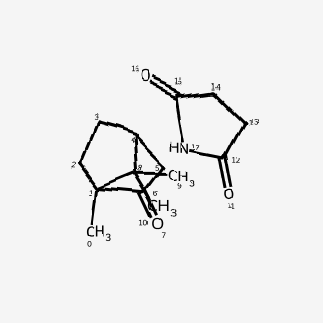 CC12CCC(CC1=O)C2(C)C.O=C1CCC(=O)N1